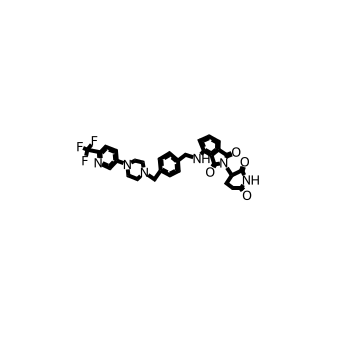 O=C1CCC(N2C(=O)c3cccc(NCc4ccc(CN5CCN(c6ccc(C(F)(F)F)nc6)CC5)cc4)c3C2=O)C(=O)N1